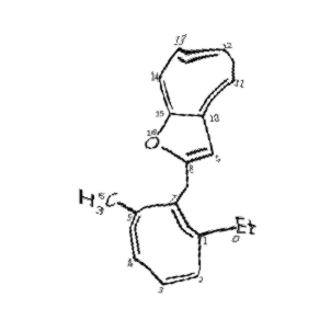 CCc1cccc(C)c1-c1cc2ccccc2o1